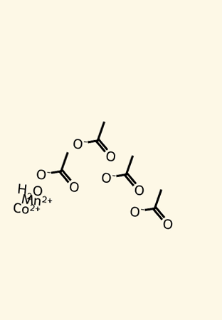 CC(=O)[O-].CC(=O)[O-].CC(=O)[O-].CC(=O)[O-].O.[Co+2].[Mn+2]